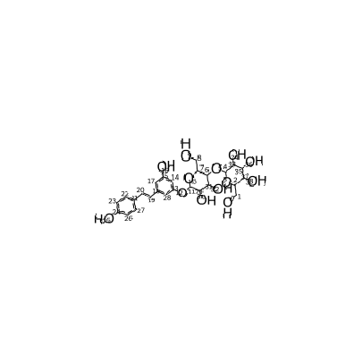 OCC1OC(OC2C(CO)OC(Oc3cc(O)cc(/C=C/c4ccc(O)cc4)c3)C(O)C2O)C(O)C(O)C1O